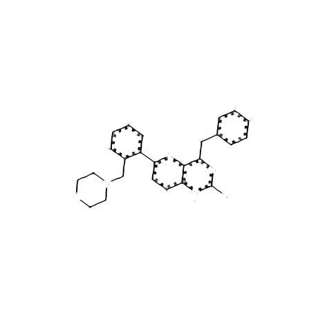 Nc1nc(Cc2ccccc2)c2nc(-c3ccccc3CN3CCOCC3)ccc2n1